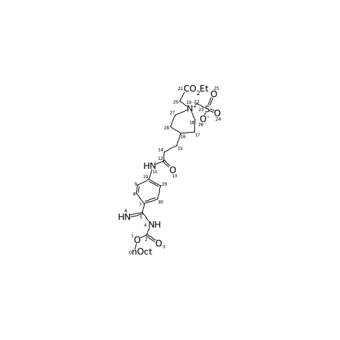 CCCCCCCCOC(=O)NC(=N)c1ccc(NC(=O)CCC2CC[N+](CC(=O)OCC)(CS(=O)(=O)[O-])CC2)cc1